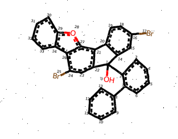 OC1(c2ccccc2-c2ccccc2)c2cc(Br)ccc2-c2c1cc(Br)c1c2oc2ccccc21